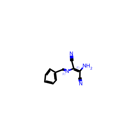 N#C/C(N)=C(C#N)\N=C\c1ccccc1